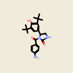 CC(C)(C)c1cc(C2CNC(=O)N2C(=O)c2ccc(N)cc2)cc(C(C)(C)C)c1O